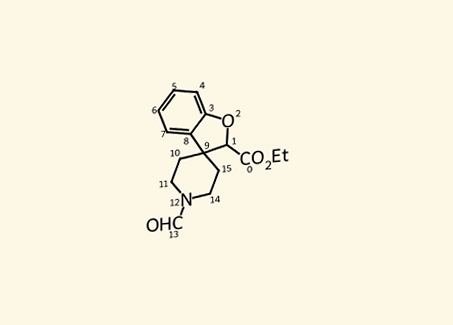 CCOC(=O)C1Oc2ccccc2C12CCN(C=O)CC2